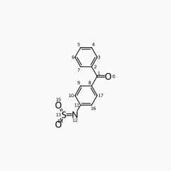 O=C(c1ccccc1)c1ccc(N=S(=O)=O)cc1